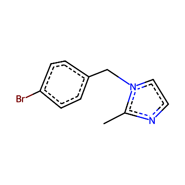 Cc1nccn1Cc1ccc(Br)cc1